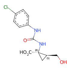 O=C(Nc1ccc(Cl)cc1)N[C@]1(C(=O)O)C[C@@H]1CO